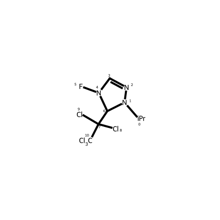 CC(C)N1N=CN(F)C1C(Cl)(Cl)C(Cl)(Cl)Cl